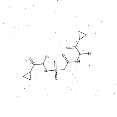 CCN(NC(=O)CS(=O)(=O)NN(CC)C(=S)C1CC1)C(=S)C1CC1